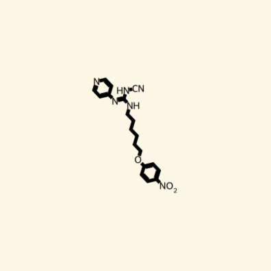 N#CN/C(=N\c1ccncc1)NCCCCCCOc1ccc([N+](=O)[O-])cc1